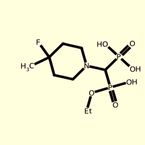 CCOP(=O)(O)C(N1CCC(C)(F)CC1)P(=O)(O)O